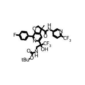 CC(C)(C)OC(=O)NCC(O)(c1cc2c(c(-c3ccc(F)cc3)n1)OC[C@]2(C)C(=O)Nc1ccc(C(F)(F)F)nc1)C(F)(F)F